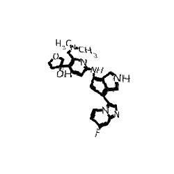 CN(C)Cc1nc(Nc2ccc(-c3cnc4cc(F)ccn34)c3c2CNC3)ccc1[C@]1(O)CCOC1